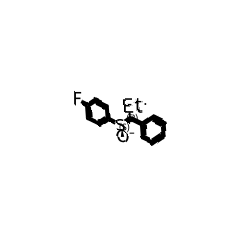 C[CH][C@H](c1ccccc1)[S@@+]([O-])c1ccc(F)cc1